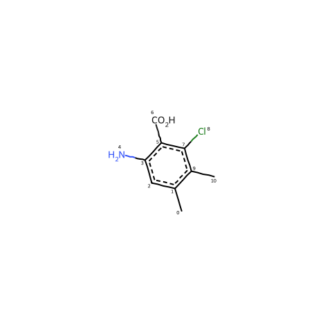 Cc1cc(N)c(C(=O)O)c(Cl)c1C